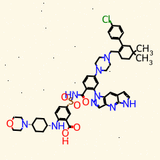 CC1(C)CCC(CN2CCN(c3ccc(C(=O)NS(=O)(=O)c4ccc(N[C@H]5CC[C@@H](N6CCOCC6)CC5)c(C(=O)O)c4)c(-n4ncc5nc6[nH]ccc6cc54)c3)CC2)=C(c2ccc(Cl)cc2)C1